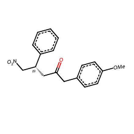 COc1ccc(CC(=O)C[C@H](C[N+](=O)[O-])c2ccccc2)cc1